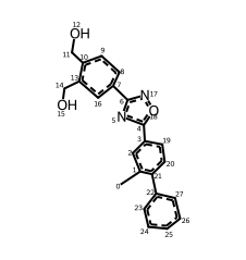 Cc1cc(-c2nc(-c3ccc(CO)c(CO)c3)no2)ccc1-c1ccccc1